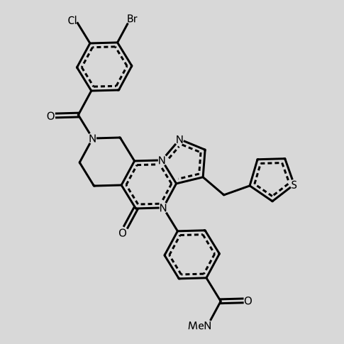 CNC(=O)c1ccc(-n2c(=O)c3c(n4ncc(Cc5ccsc5)c24)CN(C(=O)c2ccc(Br)c(Cl)c2)CC3)cc1